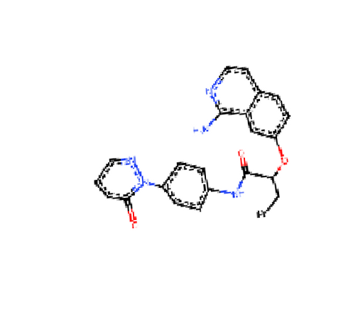 CC(C)CC(Oc1ccc2ccnc(N)c2c1)C(=O)Nc1ccc(-n2ncccc2=O)cc1